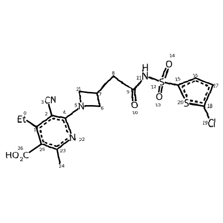 CCc1c(C#N)c(N2CC(CC(=O)NS(=O)(=O)c3ccc(Cl)s3)C2)nc(C)c1C(=O)O